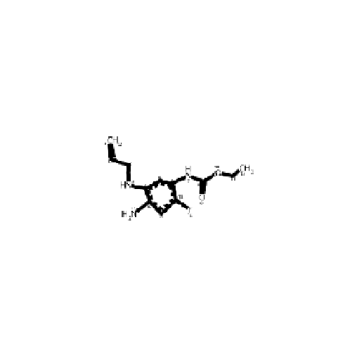 C=CCNc1cc(NC(=O)OCC)c(F)cc1N